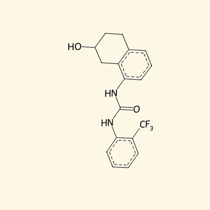 O=C(Nc1ccccc1C(F)(F)F)Nc1cccc2c1CC(O)CC2